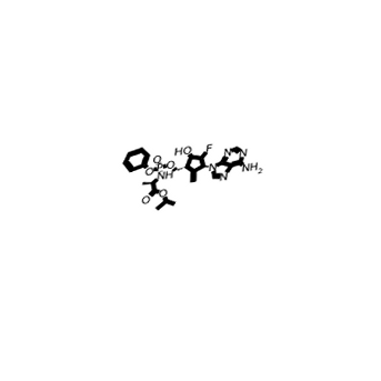 C=C1[C@@H](n2cnc3c(N)ncnc32)C(F)C(O)[C@H]1COP(=O)(N[C@H](C)C(=O)OC(C)C)Oc1ccccc1